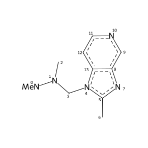 CNN(C)Cn1c(C)nc2cnccc21